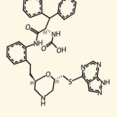 O=C(O)N[C@H](C(=O)Nc1ccccc1CC[C@@H]1CNC[C@@H](CSc2ncnc3[nH]ncc23)O1)C(c1ccccc1)c1ccccc1